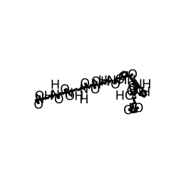 CC(=O)N(O)CCCCCNC(=O)CCC(=O)N(O)CCCCCNC(=O)CCC(=O)N(O)CCCCCNC(=O)COc1cccc(C(=O)NCC(=O)N[C@@H](Cc2ccccc2)C(=O)N[C@@H](CCCCN2C(=O)C=CC2=O)C(=O)O)c1